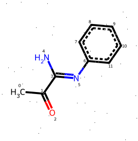 CC(=O)C(N)=Nc1ccccc1